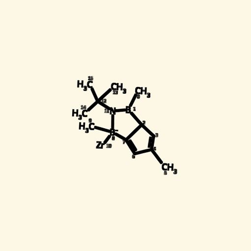 CB1C2C=C(C)C=C2[B-](C)([Zr])N1C(C)(C)C